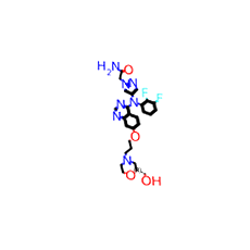 NC(=O)Cn1cc(N(c2cccc(F)c2F)c2ncnc3cc(OCCCN4CCO[C@@H](CO)C4)ccc23)cn1